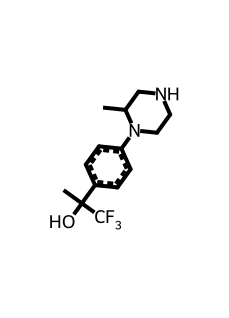 CC1CNCCN1c1ccc(C(C)(O)C(F)(F)F)cc1